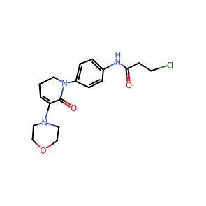 O=C(CCCl)Nc1ccc(N2CCC=C(N3CCOCC3)C2=O)cc1